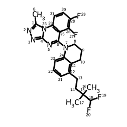 Cc1nnc2nc(N3CCCc4c(CCC(C)(C)C(F)F)cccc43)c3c(F)c(F)ccc3n12